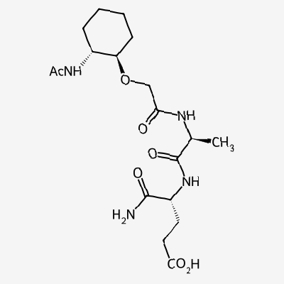 CC(=O)N[C@@H]1CCCC[C@H]1OCC(=O)N[C@@H](C)C(=O)N[C@H](CCC(=O)O)C(N)=O